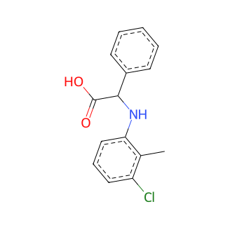 Cc1c(Cl)cccc1NC(C(=O)O)c1ccccc1